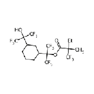 CCC(C)(C(=O)OC(C1CCCC(C(O)(C(F)(F)F)C(F)(F)F)C1)(C(F)(F)F)C(F)(F)F)C(F)(F)F